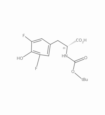 CC(C)(C)OC(=O)N[C@H](Cc1cc(F)c(O)c(F)c1)C(=O)O